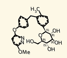 COc1ccc(Oc2ccc(Cc3cc([C@@H]4O[C@H](CO)[C@@H](O)[C@H](O)[C@H]4O)ccc3C)cc2)nn1